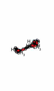 Cc1cc(S(=O)(=O)NCCOCCOCCOCCOCCCc2ccc3c(c2)n(C)c(=O)n3C2CCC(=O)NC2=O)ccc1Nc1ncc2cc(C(F)F)c(=O)n([C@@H]3CCC[C@@]3(C)O)c2n1